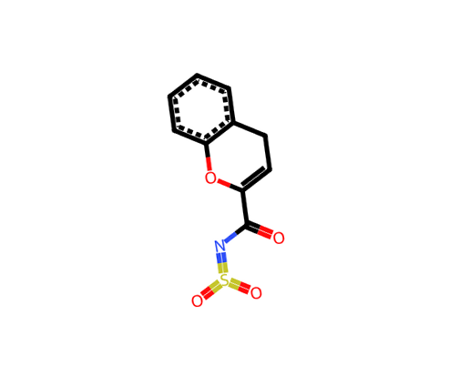 O=C(N=S(=O)=O)C1=CCc2ccccc2O1